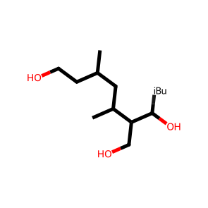 CCC(C)C(O)C(CO)C(C)CC(C)CCO